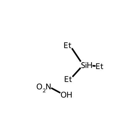 CC[SiH](CC)CC.O=[N+]([O-])O